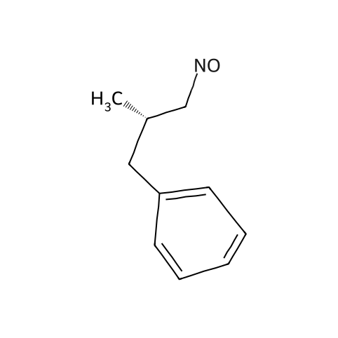 C[C@H](CN=O)Cc1ccccc1